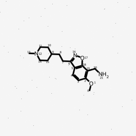 COc1ccc2c(CCC3CCN(C)CC3)noc2c1CN